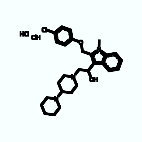 Cl.Cl.Cn1c(COc2ccc(Cl)cc2)c(C(O)CN2CCC(N3CCCCC3)CC2)c2ccccc21